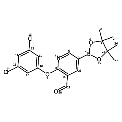 CC1(C)OB(c2cnc(Oc3cc(Cl)cc(Cl)c3)c(C=O)c2)OC1(C)C